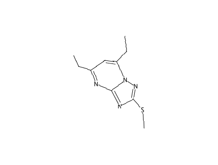 CCc1cc(CC)n2nc(SC)nc2n1